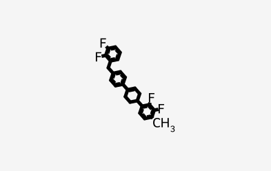 Cc1ccc(C2CC=C(c3ccc(Cc4cccc(F)c4F)cc3)CC2)c(F)c1F